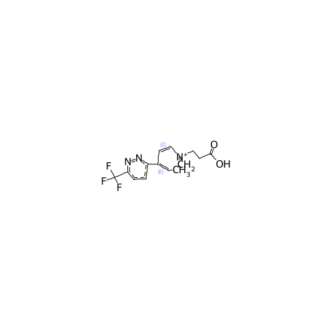 C=[N+](/C=C\C(=C/C)c1ccc(C(F)(F)F)nn1)CCC(=O)O